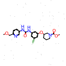 COCc1ccc(NC(=O)Nc2cc(F)cc(OC3CCCN(C(=O)OC)C3)c2)cn1